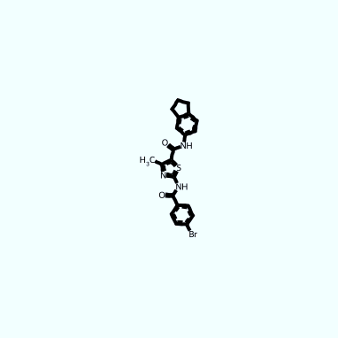 Cc1nc(NC(=O)c2ccc(Br)cc2)sc1C(=O)Nc1ccc2c(c1)CCC2